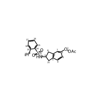 CC(=O)OOc1ccc2c(c1)CC(NS(=O)(=O)c1ccccc1C(C)C)C2